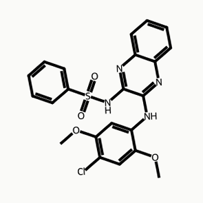 COc1cc(Nc2nc3ccccc3nc2NS(=O)(=O)c2ccccc2)c(OC)cc1Cl